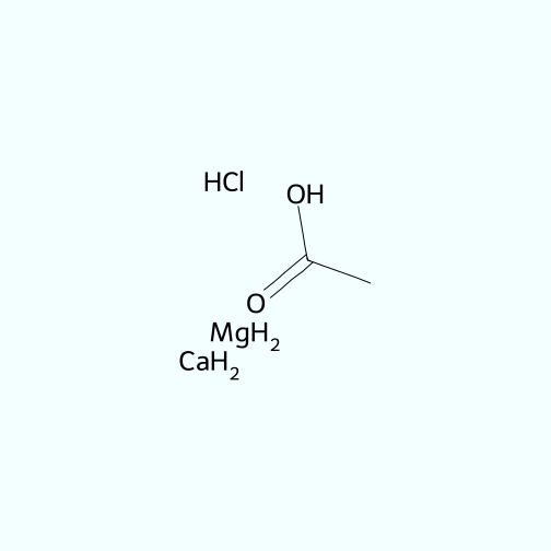 CC(=O)O.Cl.[CaH2].[MgH2]